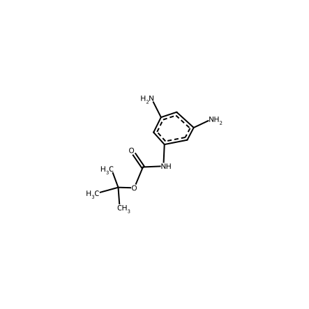 CC(C)(C)OC(=O)Nc1cc(N)cc(N)c1